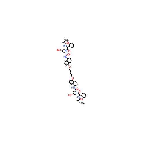 CNC(C)C(=O)NC(C(=O)N1C[C@@H](O)C[C@H]1C(=O)NC1CCCc2c(OCCCCCOc3cccc4c3CCC[C@H]4NC(=O)[C@@H]3C[C@H](O)CN3C(=O)C(NC(=O)C(C)NC)C3CCCCC3)cccc21)C1CCCCC1